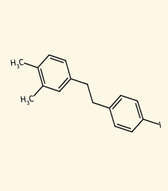 Cc1ccc(CCc2ccc(I)cc2)cc1C